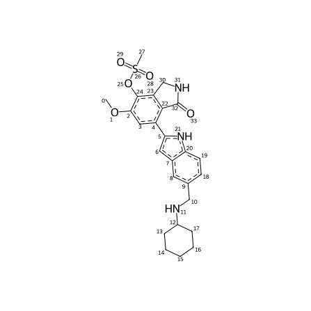 COc1cc(-c2cc3cc(CNC4CCCCC4)ccc3[nH]2)c2c(c1OS(C)(=O)=O)CNC2=O